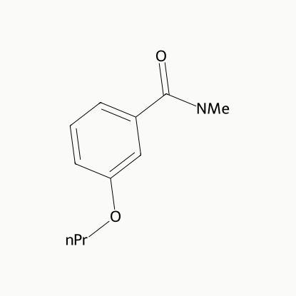 CCCOc1cccc(C(=O)NC)c1